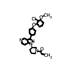 C=CC(=O)N1CCC[C@@H](n2nc(-c3ccc(Oc4cccc(OC)c4Cl)cc3)c3cnccc32)C1